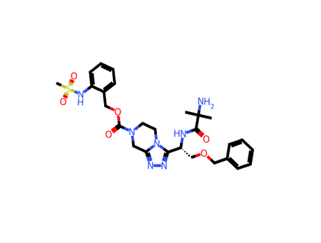 CC(C)(N)C(=O)N[C@H](COCc1ccccc1)c1nnc2n1CCN(C(=O)OCc1ccccc1NS(C)(=O)=O)C2